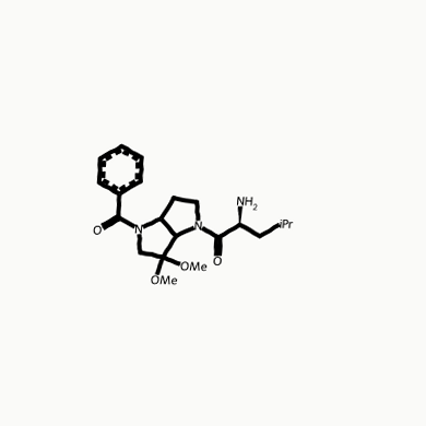 COC1(OC)CN(C(=O)c2ccccc2)C2CCN(C(=O)[C@@H](N)CC(C)C)C21